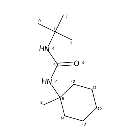 CC(C)(C)NC(=O)NC1(C)CCCCC1